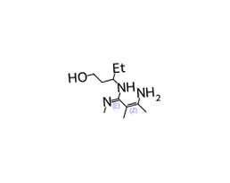 CCC(CCO)NC(=N/C)/C(C)=C(/C)N